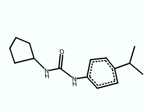 CC(C)c1ccc(NC(=O)NC2CCCC2)cc1